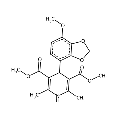 COC(=O)C1=C(C)NC(C)=C(C(=O)OC)C1c1ccc(OC)c2c1OCO2